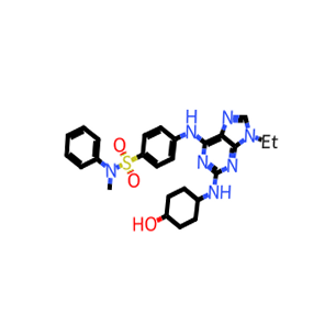 CCn1cnc2c(Nc3ccc(S(=O)(=O)N(C)c4ccccc4)cc3)nc(NC3CCC(O)CC3)nc21